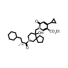 CCOC(=O)c1cn(CC2(O)CCN(C(=O)[C@H](C)CC3CCCCC3)CC23CCCC3)c(=O)cc1C1CC1